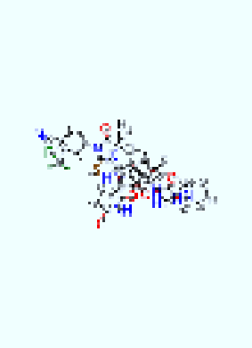 CC1(C)C(=O)N(c2ccc(C#N)c(C(F)(F)F)c2)C(=S)N1c1ccc(OCCN2CC3CCC(C2)N3CC(=O)Nc2cccc(NC3CCC(=O)NC3=O)c2)c(C2CC2)c1